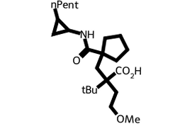 CCCCCC1CC1NC(=O)C1(CC(CCOC)(C(=O)O)C(C)(C)C)CCCC1